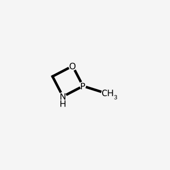 CP1NCO1